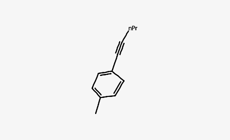 CCCC#Cc1ccc(C)cc1